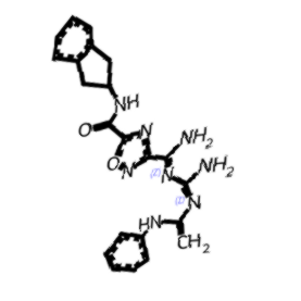 C=C(/N=C(N)\N=C(/N)c1noc(C(=O)NC2Cc3ccccc3C2)n1)Nc1ccccc1